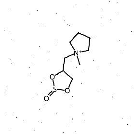 C[N+]1(CC2COS(=O)O2)CCCC1